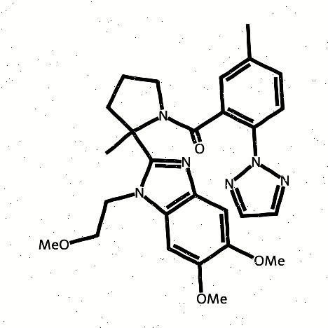 COCCn1c(C2(C)CCCN2C(=O)c2cc(C)ccc2-n2nccn2)nc2cc(OC)c(OC)cc21